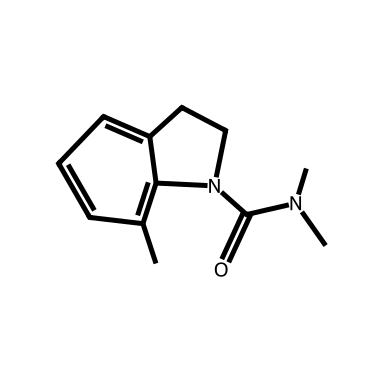 Cc1cccc2c1N(C(=O)N(C)C)CC2